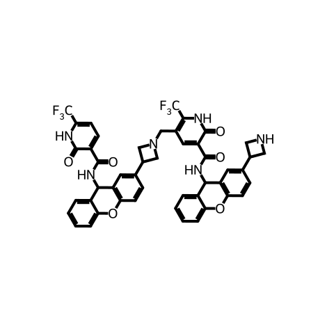 O=C(NC1c2ccccc2Oc2ccc(C3CN(Cc4cc(C(=O)NC5c6ccccc6Oc6ccc(C7CNC7)cc65)c(=O)[nH]c4C(F)(F)F)C3)cc21)c1ccc(C(F)(F)F)[nH]c1=O